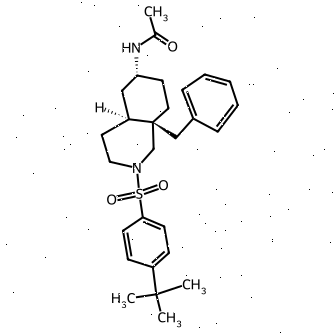 CC(=O)N[C@@H]1CC[C@]2(Cc3ccccc3)CN(S(=O)(=O)c3ccc(C(C)(C)C)cc3)CC[C@H]2C1